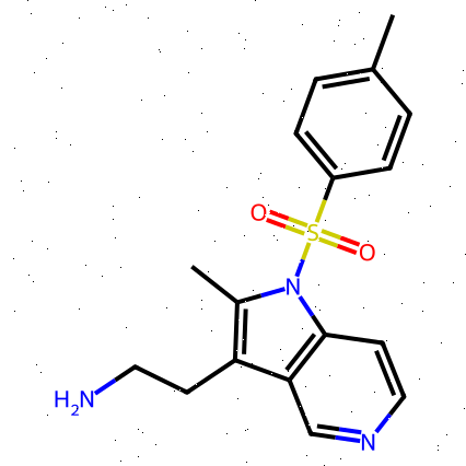 Cc1ccc(S(=O)(=O)n2c(C)c(CCN)c3cnccc32)cc1